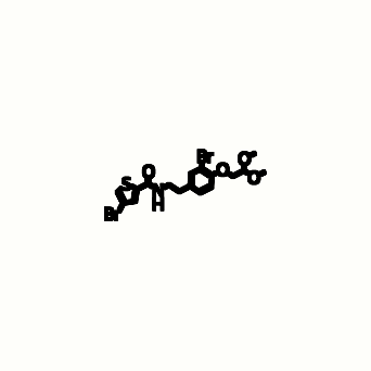 COC(COc1ccc(CCNC(=O)c2cc(Br)cs2)cc1Br)OC